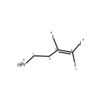 CCCCCC(I)=C(I)I